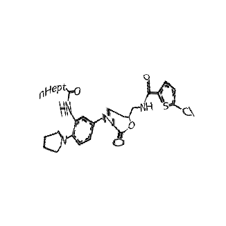 CCCCCCCC(=O)Nc1cc(N2CC(CNC(=O)c3ccc(Cl)s3)OC2=O)ccc1N1CCCC1